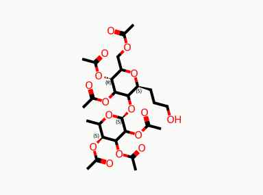 CC(=O)OCC1O[C@@H](CCCO)C(O[C@@H]2OC(C)[C@H](OC(C)=O)C(OC(C)=O)C2OC(C)=O)C(OC(C)=O)[C@@H]1OC(C)=O